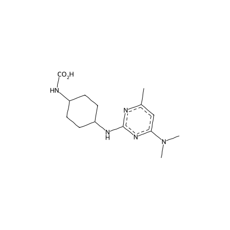 Cc1cc(N(C)C)nc(NC2CCC(NC(=O)O)CC2)n1